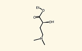 CCOC(=O)[C@@H](O)CCN(C)C